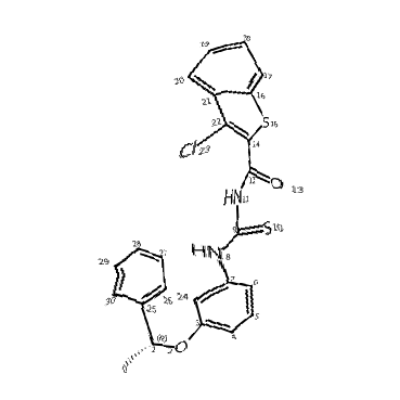 C[C@@H](Oc1cccc(NC(=S)NC(=O)c2sc3ccccc3c2Cl)c1)c1ccccc1